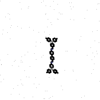 CC1=CC=C(N(c2ccc(C)cc2)c2ccc(/C=C/C3=CC=C(c4ccc(/C=C/C5C=CC(N(c6ccc(C)cc6)c6ccc(C)cc6)=CC5)cc4)CC3)cc2)CC1